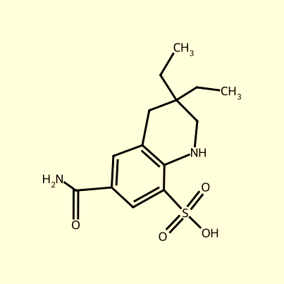 CCC1(CC)CNc2c(cc(C(N)=O)cc2S(=O)(=O)O)C1